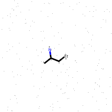 CCCC(C)[N]